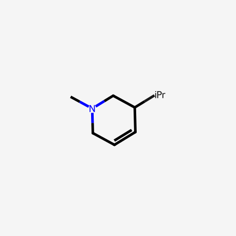 CC(C)C1C=CCN(C)C1